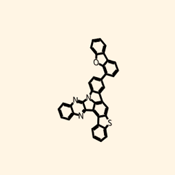 c1ccc2nc3c(nc2c1)c1c2c(cc4c5cc(-c6cccc7c6oc6ccccc67)ccc5n3c41)sc1ccccc12